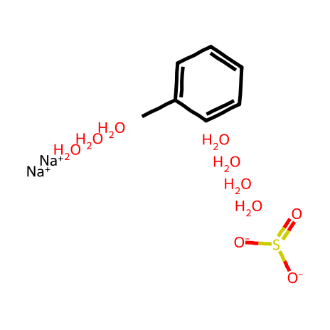 Cc1ccccc1.O.O.O.O.O.O.O.O=S([O-])[O-].[Na+].[Na+]